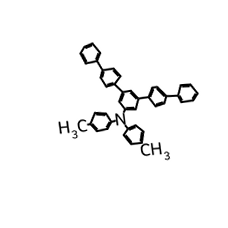 Cc1ccc(N(c2ccc(C)cc2)c2cc(-c3ccc(-c4ccccc4)cc3)cc(-c3ccc(-c4ccccc4)cc3)c2)cc1